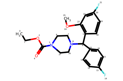 CCOC(=O)N1CCN(C(c2ccc(F)cc2)c2ccc(F)cc2OC)CC1